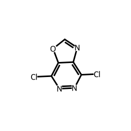 Clc1nnc(Cl)c2ocnc12